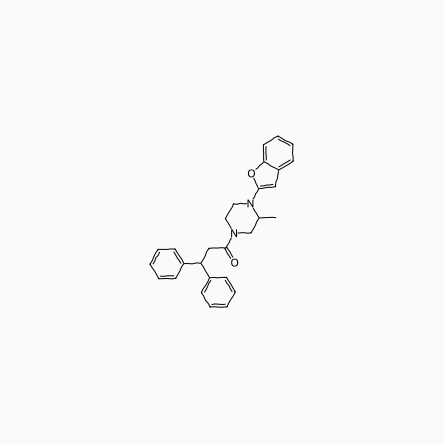 CC1CN(C(=O)CC(c2ccccc2)c2ccccc2)CCN1c1cc2ccccc2o1